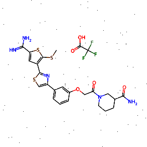 CSc1sc(C(=N)N)cc1-c1nc(-c2cccc(OCC(=O)N3CCCC(C(N)=O)C3)c2)cs1.O=C(O)C(F)(F)F